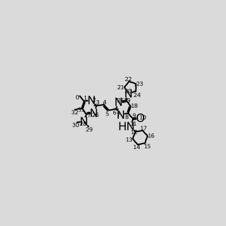 Cc1nc(/C=C/c2nc(C(=O)NC3CCCCC3)cc(N3CCCC3)n2)nc(N(C)C)c1C